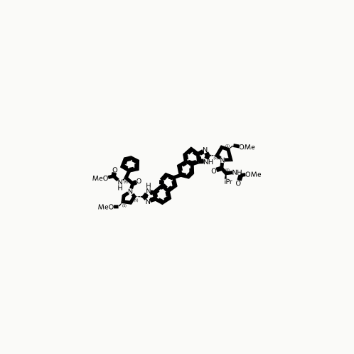 COC[C@H]1C[C@@H](c2nc3ccc4cc(-c5ccc6c(ccc7nc([C@@H]8C[C@H](COC)CN8C(=O)[C@H](NC(=O)OC)c8ccccc8)[nH]c76)c5)ccc4c3[nH]2)N(C(=O)[C@@H](NC(=O)OC)C(C)C)C1